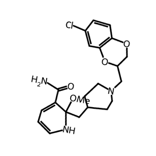 COC1(CC2CCN(CC3COc4ccc(Cl)cc4O3)CC2)NC=CC=C1C(N)=O